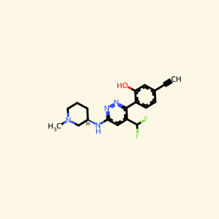 C#Cc1ccc(-c2nnc(N[C@@H]3CCCN(C)C3)cc2C(F)F)c(O)c1